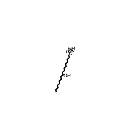 CCCCCCCCC(O)CCCCCCCCCOS(=O)(=O)O